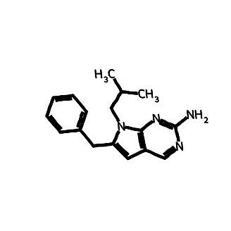 CC(C)Cn1c(Cc2ccccc2)cc2cnc(N)nc21